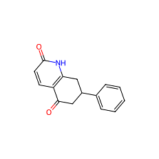 O=C1CC(c2ccccc2)Cc2[nH]c(=O)ccc21